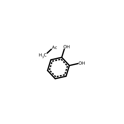 CC(C)=O.Oc1ccccc1O